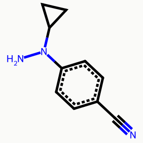 N#Cc1ccc(N(N)C2CC2)cc1